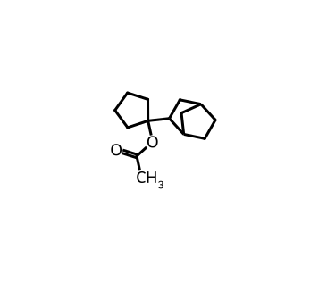 CC(=O)OC1(C2CC3CCC2C3)CCCC1